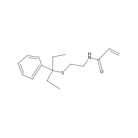 C=CC(=O)NCCSC(CC)(CC)c1ccccc1